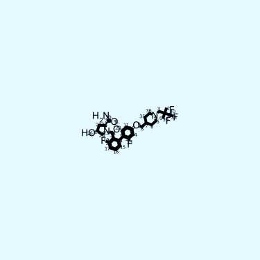 CC(C)(CN1CCC(COc2ccc(-c3cccc(F)c3C(=O)N3C[C@H](O)C[C@H]3C(N)=O)c(F)c2)CC1)C(F)(F)F